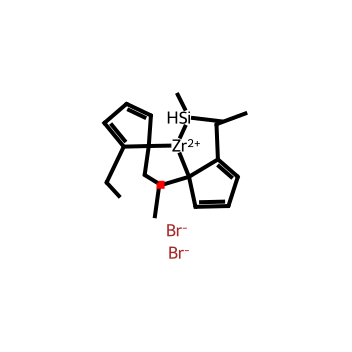 CCC1=CC=C[C]1(CC)[Zr+2]([SiH](C)C)[C]1(CC)C=CC=C1CC.[Br-].[Br-]